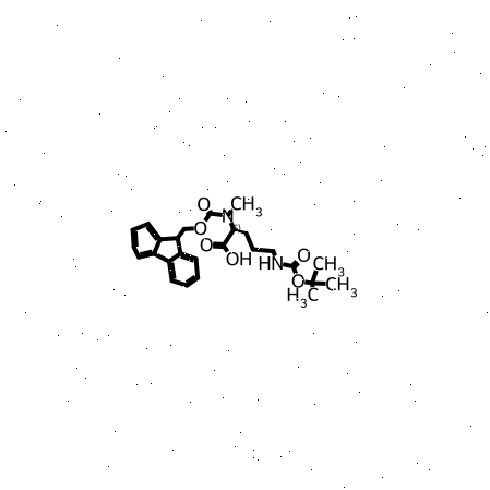 CN(C(=O)OCC1c2ccccc2-c2ccccc21)[C@@H](CCCNC(=O)OC(C)(C)C)C(=O)O